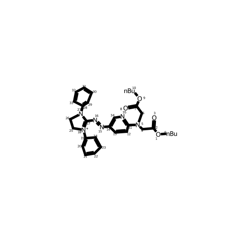 CCCCOC(=O)CN(CC(=O)OCCCC)c1ccc(/N=N/C2=[N+](c3ccccc3)CCN2c2ccccc2)cn1